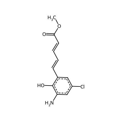 COC(=O)C=CC=Cc1cc(Cl)cc(N)c1O